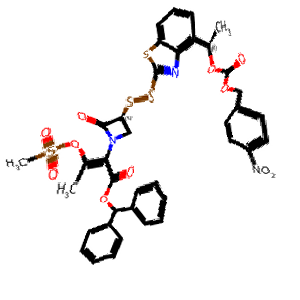 CC(OS(C)(=O)=O)=C(C(=O)OC(c1ccccc1)c1ccccc1)N1C[C@H](SSc2nc3c([C@@H](C)OC(=O)OCc4ccc([N+](=O)[O-])cc4)cccc3s2)C1=O